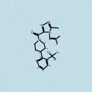 CC(C)=Cn1c(C)nnc1C(=O)N1CCC(c2ccccc2C(F)(F)F)CC1